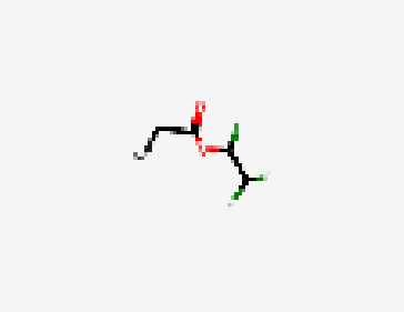 CC(=O)CC(=O)OC(F)C(F)F